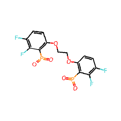 O=P(=O)c1c(OCCOc2ccc(F)c(F)c2P(=O)=O)ccc(F)c1F